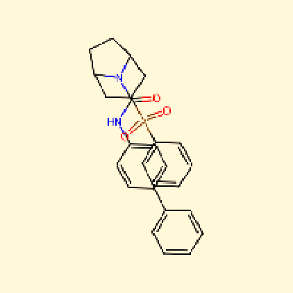 O=C(Nc1ccc(-c2ccccc2)cc1)N1C2CCC1CC(S(=O)(=O)c1ccccc1)C2